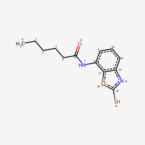 CCCCCC(=O)Nc1cccc2nc(S)sc12